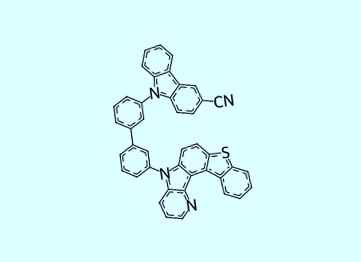 N#Cc1ccc2c(c1)c1ccccc1n2-c1cccc(-c2cccc(-n3c4cccnc4c4c5c(ccc43)sc3ccccc35)c2)c1